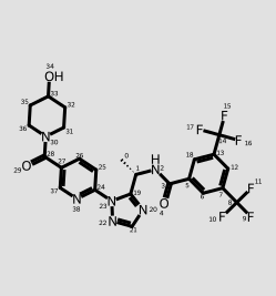 C[C@H](NC(=O)c1cc(C(F)(F)F)cc(C(F)(F)F)c1)c1ncnn1-c1ccc(C(=O)N2CCC(O)CC2)cn1